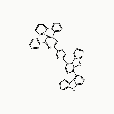 c1ccc(-c2nc(-c3ccc(-c4ccc(-c5cccc6oc7ccccc7c56)c5oc6ccccc6c45)cc3)cc(-c3ccccc3-c3ccccn3)n2)cc1